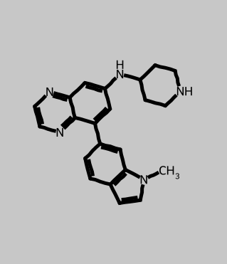 Cn1ccc2ccc(-c3cc(NC4CCNCC4)cc4nccnc34)cc21